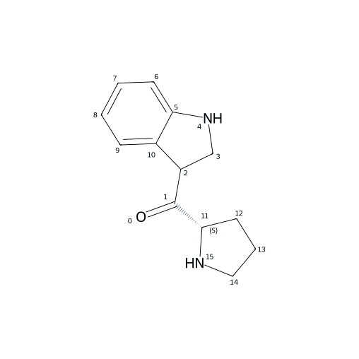 O=C(C1CNc2ccccc21)[C@@H]1CCCN1